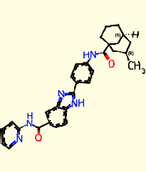 C[C@@H]1C[C@@H]2CCCC(C(=O)Nc3ccc(-c4nc5cc(C(=O)Nc6ccccn6)ccc5[nH]4)cc3)(C1)C2